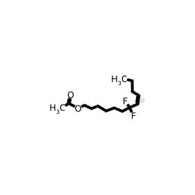 CCC/C=C\C(F)(F)CCCCCCOC(C)=O